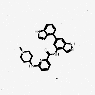 CN1CCC(Nc2cccc(C(=O)Nc3cc(-c4cccc5[nH]ccc45)cc4[nH]ncc34)n2)CC1